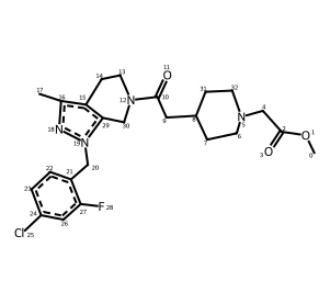 COC(=O)CN1CCC(CC(=O)N2CCc3c(C)nn(Cc4ccc(Cl)cc4F)c3C2)CC1